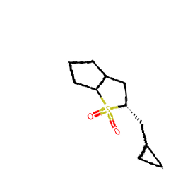 O=S1(=O)C2CCCC2C[C@@H]1CC1CC1